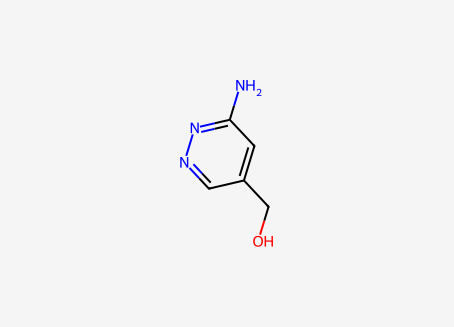 Nc1cc(CO)cnn1